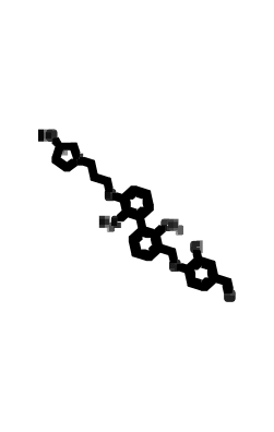 Cc1c(COc2ccc(C=O)cc2Cl)cccc1-c1cccc(OCCCN2CC[C@@H](O)C2)c1C